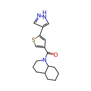 O=C(c1csc(-c2cn[nH]c2)c1)N1CCCC2CCCCC21